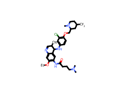 CCOc1cc2c(cc1NC(=O)CCCN(C)C)C(Nc1ccc(OCC3CC(C(F)(F)F)CCN3C)c(Cl)c1)C(C#N)C=N2